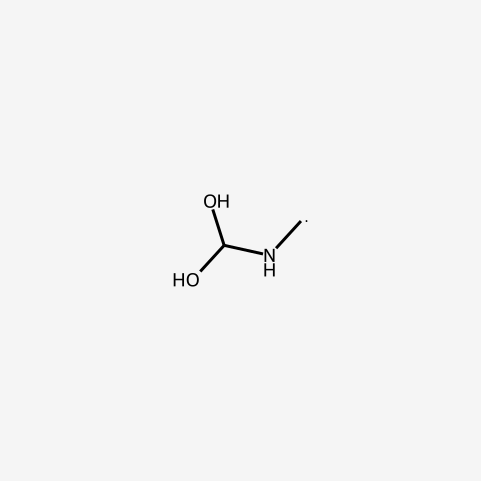 [CH2]NC(O)O